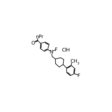 CCCC(=O)c1ccc(N(F)CC2CCC(c3ccc(F)cc3C)CC2)cc1.Cl